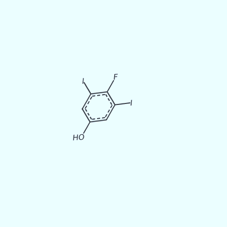 Oc1cc(I)c(F)c(I)c1